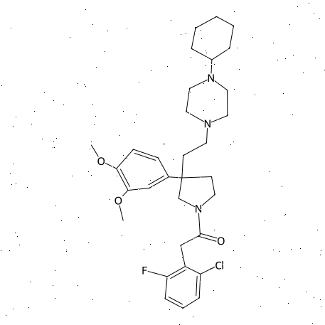 COc1ccc(C2(CCN3CCN(C4CCCCC4)CC3)CCN(C(=O)Cc3c(F)cccc3Cl)C2)cc1OC